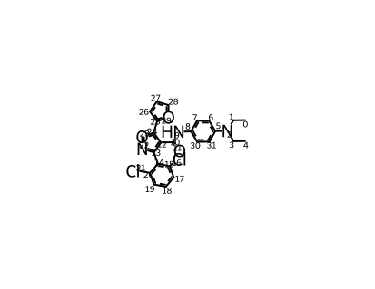 CCN(CC)c1ccc(NC(=O)c2c(-c3c(Cl)cccc3Cl)noc2-c2ccco2)cc1